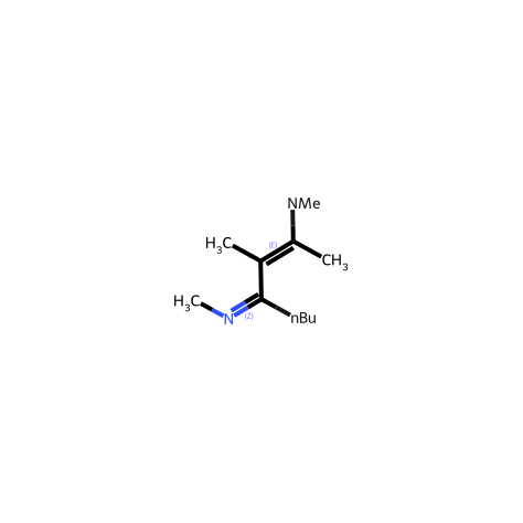 CCCCC(=N/C)/C(C)=C(\C)NC